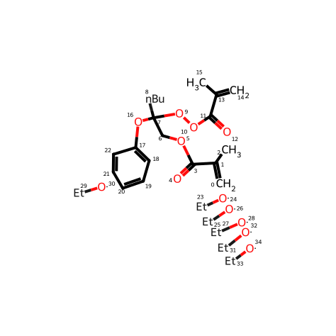 C=C(C)C(=O)OCC(CCCC)(OOC(=O)C(=C)C)Oc1ccccc1.[CH2]C[O].[CH2]C[O].[CH2]C[O].[CH2]C[O].[CH2]C[O].[CH2]C[O]